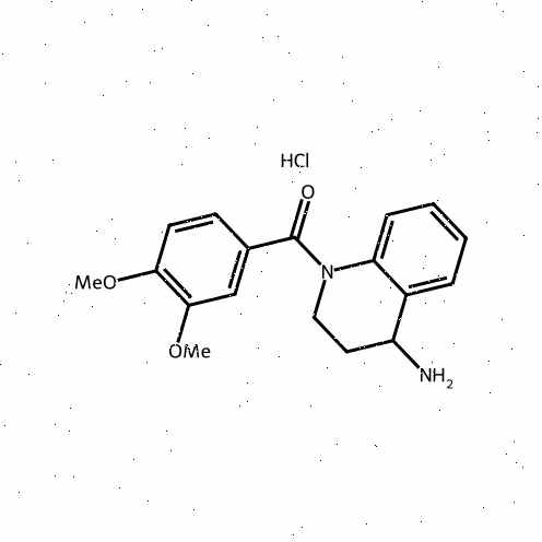 COc1ccc(C(=O)N2CCC(N)c3ccccc32)cc1OC.Cl